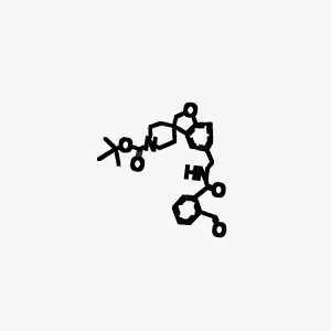 CC(C)(C)OC(=O)N1CCC2(CC1)COc1ccc(CNC(=O)c3ccccc3C=O)cc12